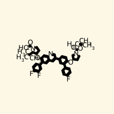 CC(C)(C)OC(=O)N1CC[C@H](Oc2ccc(-c3cnc4cc(OC5CCN(C(=O)O)C5C(C)(C)C)c(-c5ccc(F)c(F)c5)cc4c3)cc2-c2ccc(F)cc2)C1